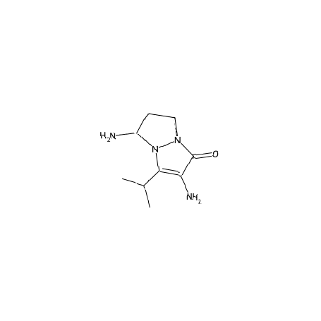 CC(C)c1c(N)c(=O)n2n1C(N)CC2